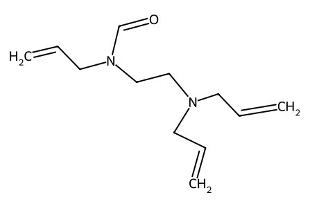 C=CCN(C=O)CCN(CC=C)CC=C